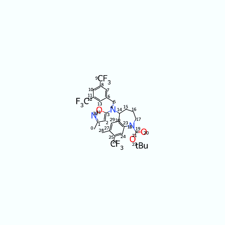 Cc1cc(N(Cc2cc(C(F)(F)F)cc(C(F)(F)F)c2)C2CCCN(C(=O)OC(C)(C)C)c3cc(C(F)(F)F)c(C)cc32)on1